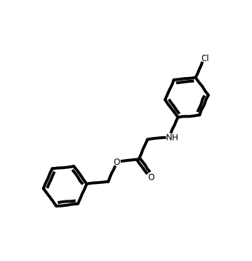 O=C(CNc1ccc(Cl)cc1)OCc1ccccc1